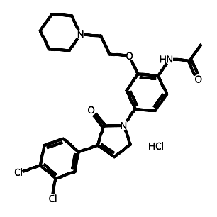 CC(=O)Nc1ccc(N2CC=C(c3ccc(Cl)c(Cl)c3)C2=O)cc1OCCN1CCCCC1.Cl